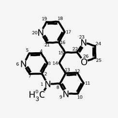 CN(c1cccnc1)c1ncccc1CC(c1cccnc1)c1ncco1